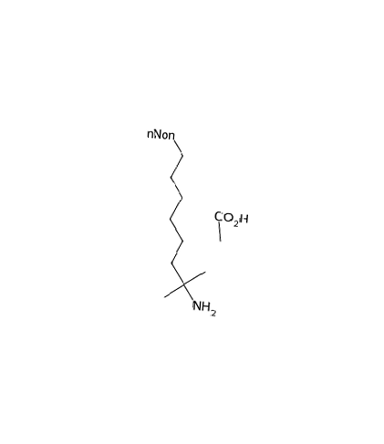 CC(=O)O.CCCCCCCCCCCCCCCC(C)(C)N